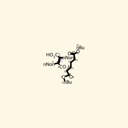 CCCCCCCCC/C(C(=O)O)=C(/CCCCCCCCC)C(=O)O.CCCCOC(=O)CCCCC(=O)OCCCC